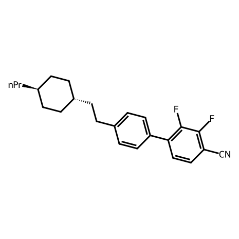 CCC[C@H]1CC[C@H](CCc2ccc(-c3ccc(C#N)c(F)c3F)cc2)CC1